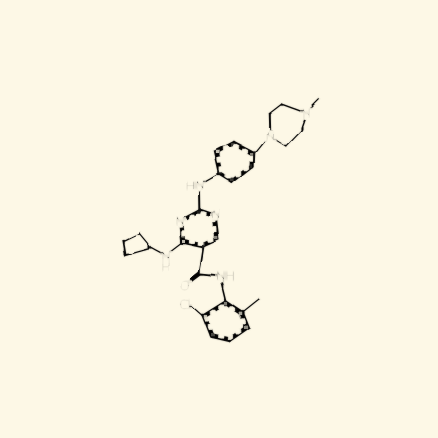 Cc1cccc(Cl)c1NC(=O)c1cnc(Nc2ccc(N3CCN(C)CC3)cc2)nc1NC1CCC1